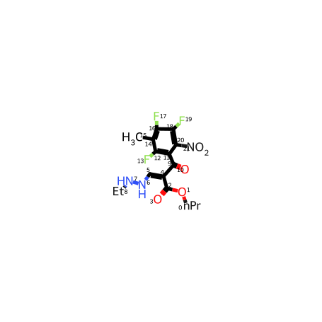 CCCOC(=O)C(=CNNCC)C(=O)c1c(F)c(C)c(F)c(F)c1[N+](=O)[O-]